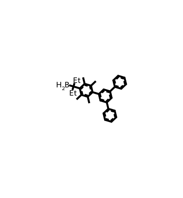 BC(CC)(CC)c1c(C)c(C)c(-c2cc(-c3ccccc3)cc(-c3ccccc3)c2)c(C)c1C